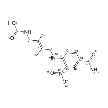 C/C(CNC(=O)O)=C(/C)CNc1ccc(C(N)=O)cc1[N+](=O)[O-]